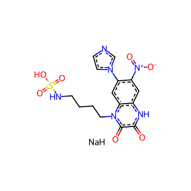 O=c1[nH]c2cc([N+](=O)[O-])c(-n3ccnc3)cc2n(CCCCNS(=O)(=O)O)c1=O.[NaH]